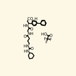 O=C(O)C(F)(F)F.O=C(O)CC(NC(=O)CNC(=O)CCCNC(=O)NC1CCCCC1)c1ccc(-c2ccccc2)cc1